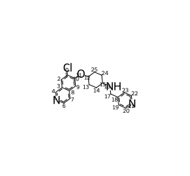 Clc1cc2cnccc2cc1OC1CCC(NCc2ccncc2)CC1